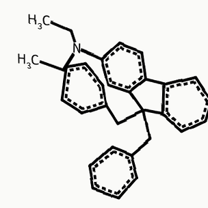 CCN(CC)c1ccc2c(c1)C(Cc1ccccc1)(Cc1ccccc1)c1ccccc1-2